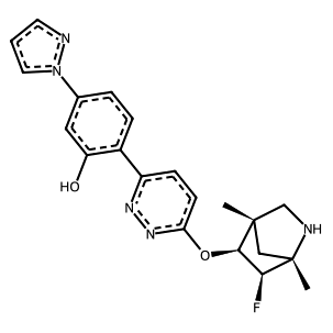 C[C@@]12CN[C@@](C)(C1)[C@@H](F)[C@H]2Oc1ccc(-c2ccc(-n3cccn3)cc2O)nn1